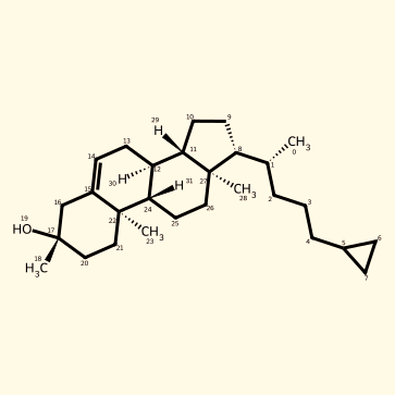 C[C@H](CCCC1CC1)[C@H]1CC[C@H]2[C@@H]3CC=C4C[C@@](C)(O)CC[C@]4(C)[C@H]3CC[C@]12C